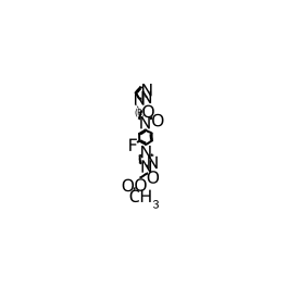 CC(=O)OCC(=O)N1CCN(c2ccc(N3C[C@H](Cn4ccnn4)OC3=O)cc2F)C=N1